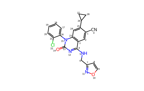 N#Cc1cc2c(NCc3ccon3)nc(=O)n(-c3ccccc3Cl)c2cc1C1CC1